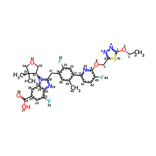 CCOc1nnc(COc2nc(-c3cc(F)c(Cc4nc5c(F)cc(C(=O)O)cc5n4[C@@H]4COCC4(C)C)cc3C)ccc2F)s1